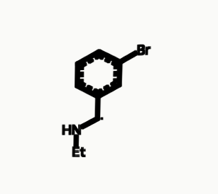 CCN[CH]c1cccc(Br)c1